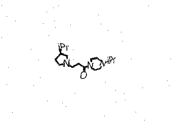 CC(C)C1CCN(CCC(=O)N2CCN(C(C)C)CC2)C1